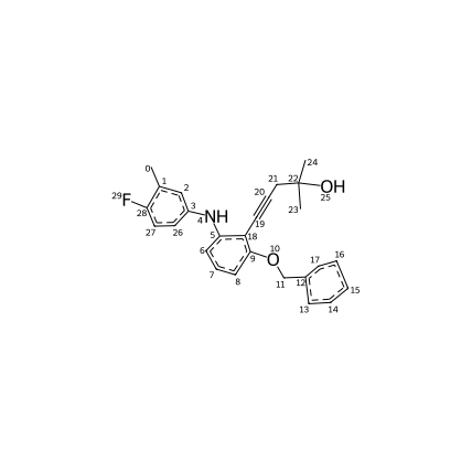 Cc1cc(Nc2cccc(OCc3ccccc3)c2C#CCC(C)(C)O)ccc1F